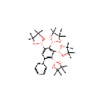 CC1(C)OB(c2cc(-c3ccccc3)c(B3OC(C)(C)C(C)(C)O3)c(B3OC(C)(C)C(C)(C)O3)c2B2OC(C)(C)C(C)(C)O2)OC1(C)C